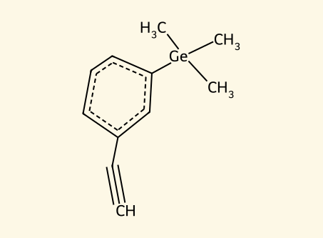 C#Cc1ccc[c]([Ge]([CH3])([CH3])[CH3])c1